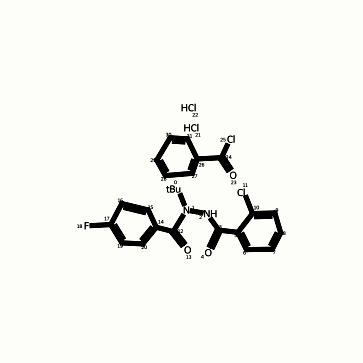 CC(C)(C)N(NC(=O)c1ccccc1Cl)C(=O)c1ccc(F)cc1.Cl.Cl.O=C(Cl)c1ccccc1